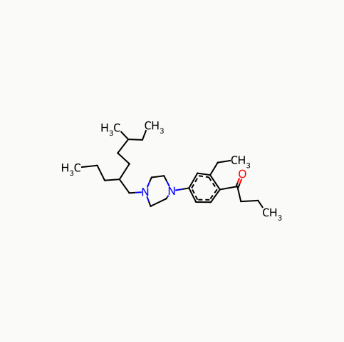 CCCC(=O)c1ccc(N2CCN(CC(CCC)CCC(C)CC)CC2)cc1CC